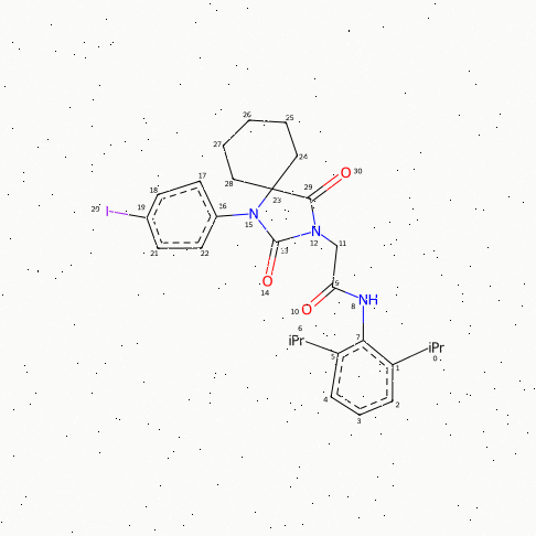 CC(C)c1cccc(C(C)C)c1NC(=O)CN1C(=O)N(c2ccc(I)cc2)C2(CCCCC2)C1=O